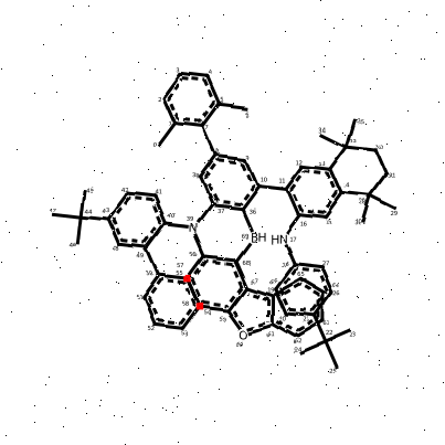 Cc1cccc(C)c1-c1cc(-c2cc3c(cc2Nc2ccc(C(C)(C)C)cc2)C(C)(C)CCC3(C)C)c2c(c1)N(c1ccc(C(C)(C)C)cc1-c1ccccc1)c1ccc3oc4ccccc4c3c1B2